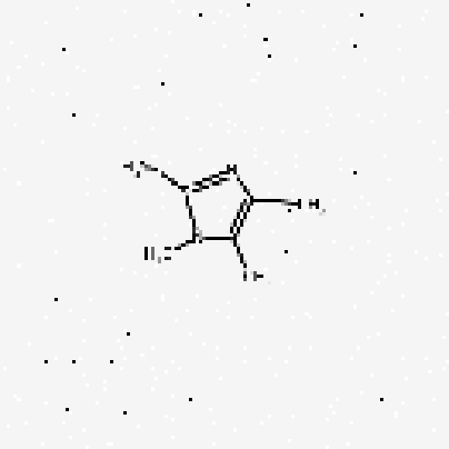 Cc1nc([SiH3])n(C)c1C